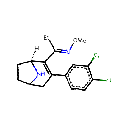 CCC(=NOC)C1=C(c2ccc(Cl)c(Cl)c2)CC2CC[C@@H]1N2